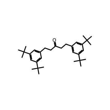 CC(C)(C)c1cc(CCC(=O)CCc2cc(C(C)(C)C)cc(C(C)(C)C)c2)cc(C(C)(C)C)c1